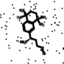 CCOCC[C@H](C(=O)O)c1ccc2c(c1)C(C)(C)CCC2(C)C